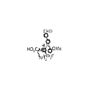 COc1ccccc1CN.NCCC[C@H](N)C(=O)O.O=C(O)Cc1ccccc1.O=Cc1ccc(-c2ccccc2)cc1